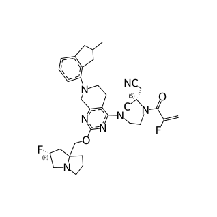 C=C(F)C(=O)N1CCN(c2nc(OCC34CCCN3C[C@H](F)C4)nc3c2CCN(c2cccc4c2CC(C)C4)C3)C[C@@H]1CC#N